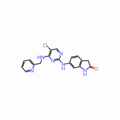 O=C1Cc2ccc(Nc3ncc(Cl)c(NCc4ccccn4)n3)cc2N1